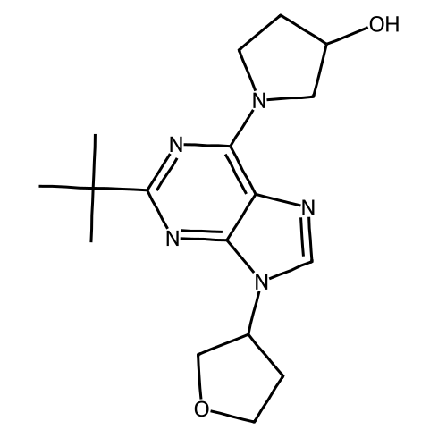 CC(C)(C)c1nc(N2CCC(O)C2)c2ncn(C3CCOC3)c2n1